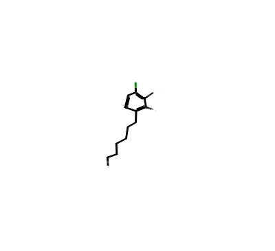 CCOC(=O)CCCCCCc1ccc(F)c(C=O)c1[N+](=O)[O-]